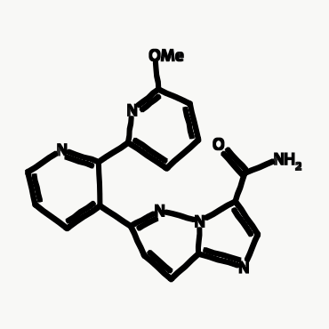 COc1cccc(-c2ncccc2-c2ccc3ncc(C(N)=O)n3n2)n1